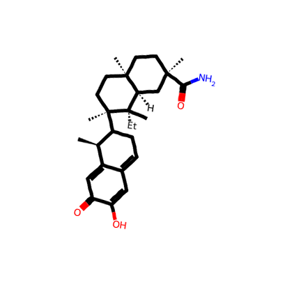 CC[C@@]1(C)[C@@H]2C[C@](C)(C(N)=O)CC[C@]2(C)CC[C@]1(C)C1CC=C2C=C(O)C(=O)C=C2[C@H]1C